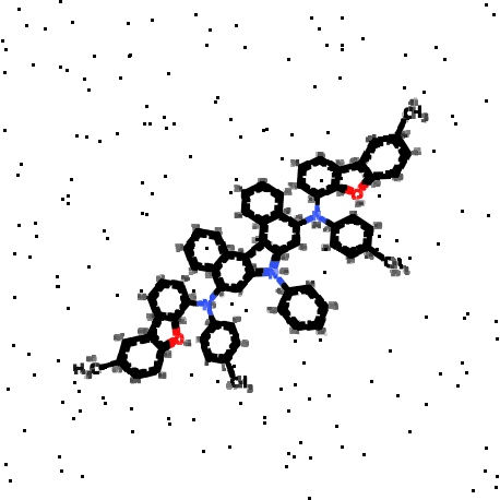 Cc1ccc(N(c2cc3c(c4ccccc24)c2c4ccccc4c(N(c4ccc(C)cc4)c4cccc5c4oc4ccc(C)cc45)cc2n3-c2ccccc2)c2cccc3c2oc2ccc(C)cc23)cc1